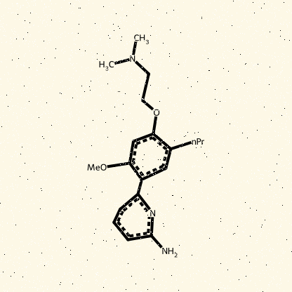 CCCc1cc(-c2cccc(N)n2)c(OC)cc1OCCN(C)C